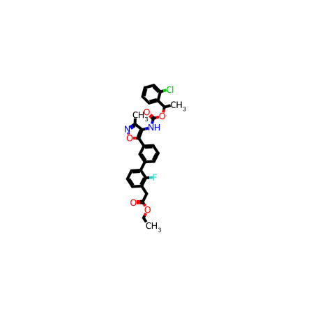 CCOC(=O)Cc1cccc(-c2cccc(-c3onc(C)c3NC(=O)OC(C)c3ccccc3Cl)c2)c1F